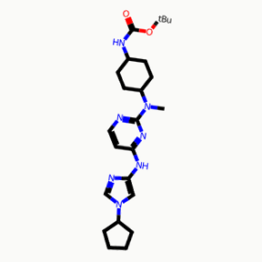 CN(c1nccc(Nc2cn(C3CCCC3)cn2)n1)C1CCC(NC(=O)OC(C)(C)C)CC1